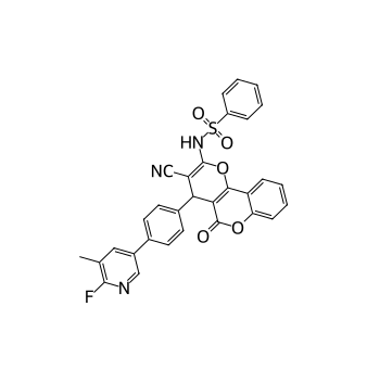 Cc1cc(-c2ccc(C3C(C#N)=C(NS(=O)(=O)c4ccccc4)Oc4c3c(=O)oc3ccccc43)cc2)cnc1F